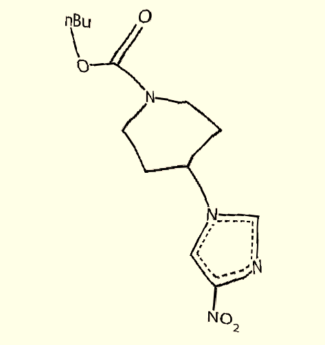 CCCCOC(=O)N1CCC(n2cnc([N+](=O)[O-])c2)CC1